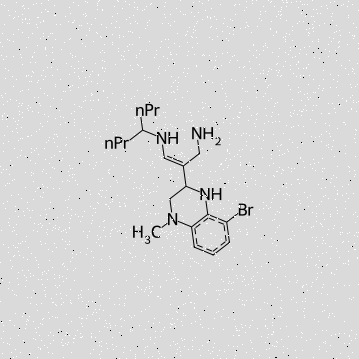 CCCC(CCC)N/C=C(\CN)C1CN(C)c2cccc(Br)c2N1